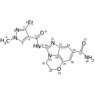 CCc1nn(C)cc1C(=O)Nc1nc2cc(C(N)=O)cc3c2n1CCO3